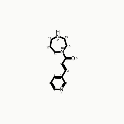 O=C(C=Cc1cccnc1)N1CCCNCC1